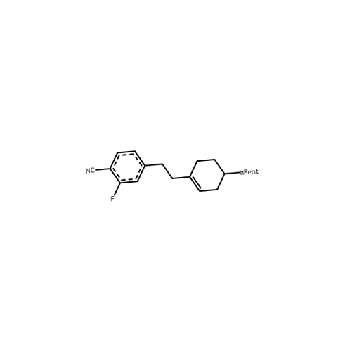 CCCCCC1CC=C(CCc2ccc(C#N)c(F)c2)CC1